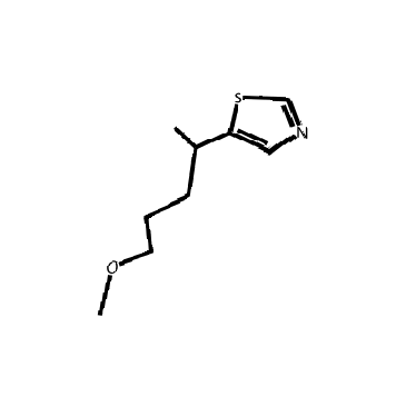 COCCCC(C)c1cncs1